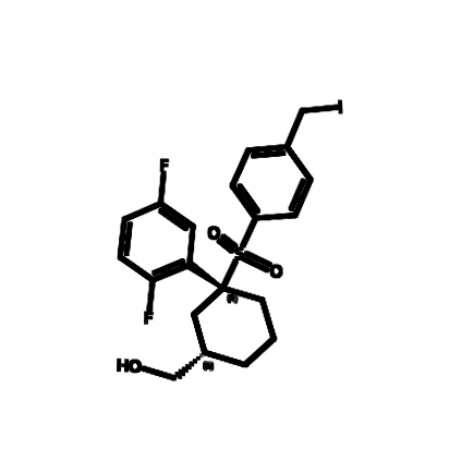 O=S(=O)(c1ccc(CI)cc1)[C@]1(c2cc(F)ccc2F)CCC[C@H](CO)C1